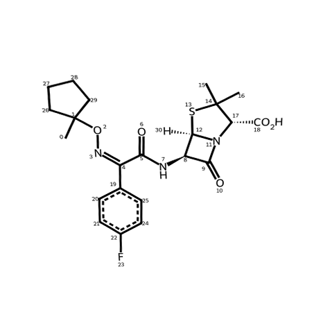 CC1(O/N=C(\C(=O)N[C@@H]2C(=O)N3[C@@H]2SC(C)(C)[C@@H]3C(=O)O)c2ccc(F)cc2)CCCC1